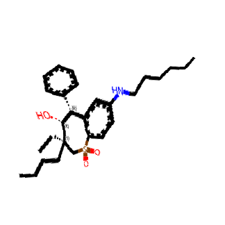 CCCCCCNc1ccc2c(c1)[C@@H](c1ccccc1)[C@@H](O)[C@](CC)(CCCC)CS2(=O)=O